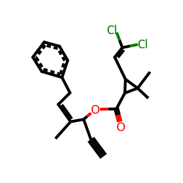 C#CC(OC(=O)C1C(C=C(Cl)Cl)C1(C)C)C(C)=CCc1ccccc1